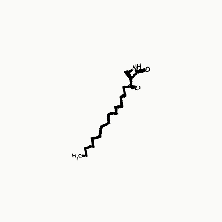 CCCCCCCCCCCCCCCC(=O)C1=CNC1=O